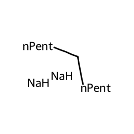 [CH2]CCCCCCCCCC.[NaH].[NaH]